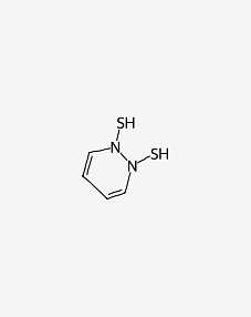 SN1C=CC=CN1S